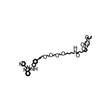 C=CC(=O)N1CCN(c2ccc(CCC(=O)NCCCCCOCCOCCOCCOCC#Cc3ccc4c(c3)CC(Nc3nc(-c5cccnc5)nc5ccccc35)C4)o2)C(=O)C1